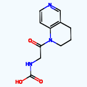 O=C(O)NCC(=O)N1CCCc2cnccc21